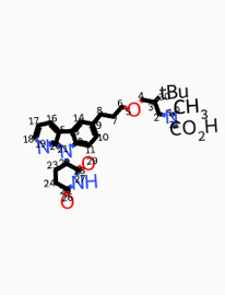 CN(CC(COCCCc1ccc2c(c1)c1cccnc1n2C1CCC(=O)NC1=O)C(C)(C)C)C(=O)O